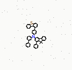 CC1(C)c2ccccc2-c2cc(N(c3ccc(-c4cccc5sc6ccccc6c45)cc3)c3cccc(-c4ccccc4)c3)cc(-c3ccccc3)c21